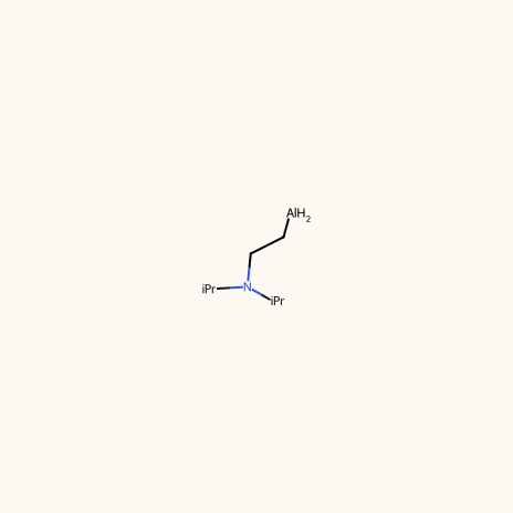 CC(C)N(C[CH2][AlH2])C(C)C